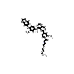 COCCOC/C=C/C(=O)N1CCC(c2ncc3ncnc(Nc4ccc(Oc5ccn6ncnc6c5)c(C)c4F)c3n2)=C[C@@H]1C